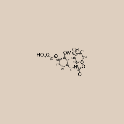 COc1cc(Cn2c(=O)oc3ccc(C)cc32)ccc1OCC(=O)O